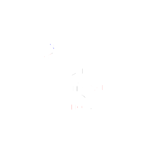 CCCCC(C)(C)[C@H](O)/C=C/[C@@H]1[C@H]2CC(CCCCC(=O)N(C)C)=C[C@H]2C[C@H]1O